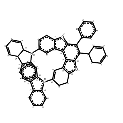 C1=CCC(c2c(-c3ccccc3)c3oc4ccc(N5c6ccccc6C6C=CC=CC65)cc4c3c3c4c(oc23)CCC(n2c3ccccc3c3ccccc32)=C4)C=C1